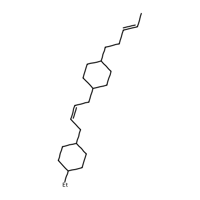 C/C=C/CCC1CCC(C/C=C\CC2CCC(CC)CC2)CC1